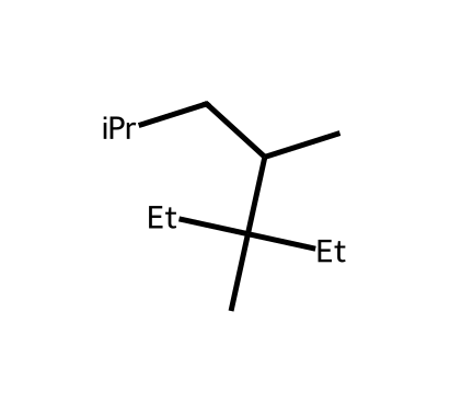 [CH2]C(C)CC(C)C(C)(CC)CC